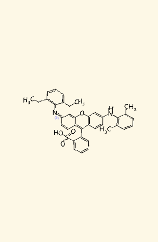 CCc1cccc(CC)c1/N=c1/ccc2c(-c3ccccc3S(=O)(=O)O)c3ccc(Nc4c(C)cccc4C)cc3oc-2c1